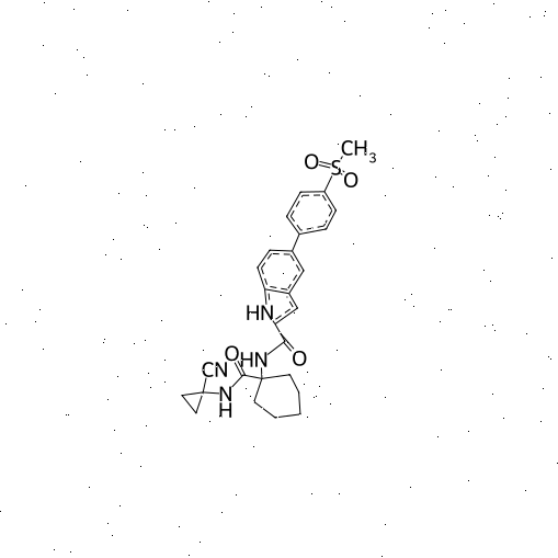 CS(=O)(=O)c1ccc(-c2ccc3[nH]c(C(=O)NC4(C(=O)NC5(C#N)CC5)CCCCC4)cc3c2)cc1